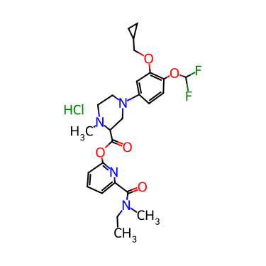 CCN(C)C(=O)c1cccc(OC(=O)C2CN(c3ccc(OC(F)F)c(OCC4CC4)c3)CCN2C)n1.Cl